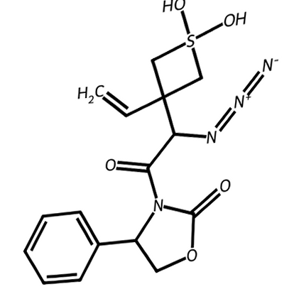 C=CC1(C(N=[N+]=[N-])C(=O)N2C(=O)OCC2c2ccccc2)CS(O)(O)C1